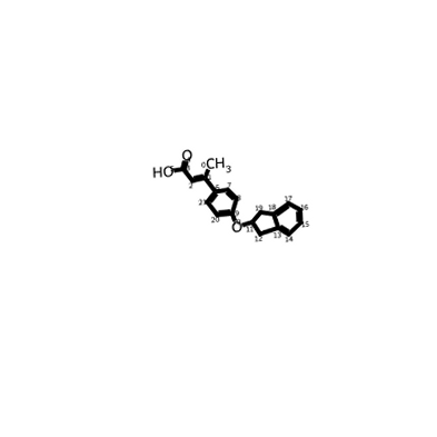 C/C(=C\C(=O)O)c1ccc(OC2Cc3ccccc3C2)cc1